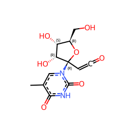 Cc1cn([C@]2(C=C=O)O[C@H](CO)[C@@H](O)[C@H]2O)c(=O)[nH]c1=O